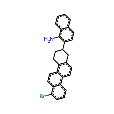 Nc1c(C2CCc3c(ccc4c3ccc3c(Br)cccc34)C2)ccc2ccccc12